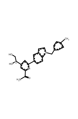 Cc1ccc(Cn2ccc3cc(-c4cc([C@@H](O)CO)cc(C(N)=O)n4)ccc32)cc1